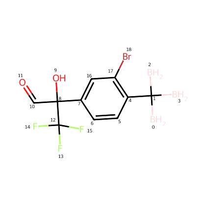 BC(B)(B)c1ccc(C(O)(C=O)C(F)(F)F)cc1Br